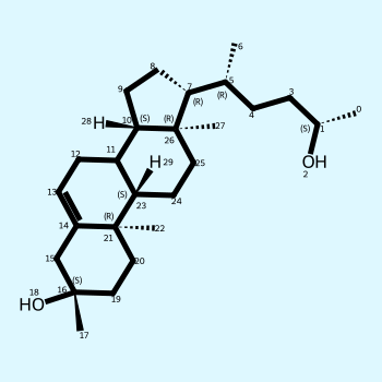 C[C@H](O)CC[C@@H](C)[C@H]1CC[C@H]2C3CC=C4C[C@@](C)(O)CC[C@]4(C)[C@H]3CC[C@]12C